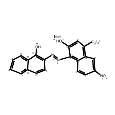 O=[N+]([O-])c1ccc2c(/N=N/c3ccc4ccccc4c3O)c(O)cc(S(=O)(=O)O)c2c1.[NaH]